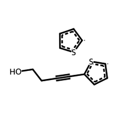 OCCC#Cc1cc[c]s1.[c]1cccs1